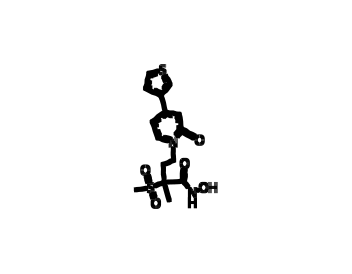 CC(CCn1ccc(-c2ccsc2)cc1=O)(C(=O)NO)S(C)(=O)=O